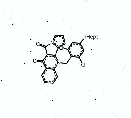 CCCCCCCc1cc(Cl)c(Cn2c3c(c(=O)c4ccccc42)C(=O)n2cccc2-3)c(Cl)c1